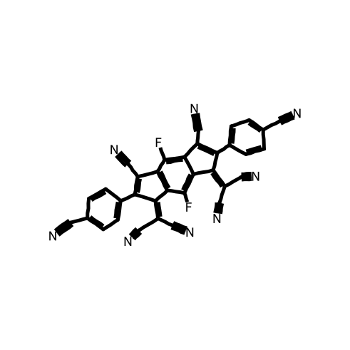 N#CC(C#N)=C1C(c2ccc(C#N)cc2)=C(C#N)c2c(F)c3c(c(F)c21)C(=C(C#N)C#N)C(c1ccc(C#N)cc1)=C3C#N